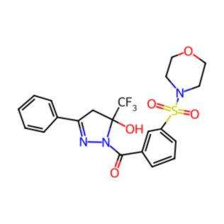 O=C(c1cccc(S(=O)(=O)N2CCOCC2)c1)N1N=C(c2ccccc2)CC1(O)C(F)(F)F